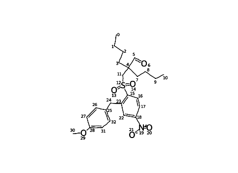 CCCCC(C=O)(CCCC)CS(=O)(=O)c1ccc([N+](=O)[O-])cc1Cc1ccc(OC)cc1